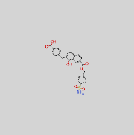 NS(=O)(=O)c1ccc(COC(=O)c2ccc3ccc(Cc4ccc(C(=O)O)cc4)c(O)c3c2)cc1